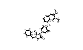 COc1cc2nccc(Oc3ccc(N4C(=O)CN(Cc5ccccc5)C4=O)cc3F)c2cc1OC